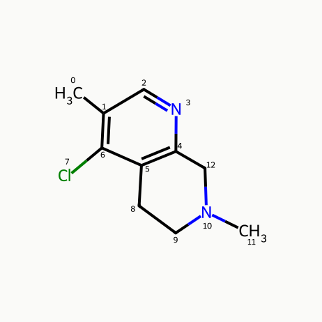 Cc1cnc2c(c1Cl)CCN(C)C2